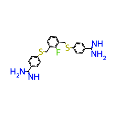 N=C(N)c1ccc(SCc2cccc(CSc3ccc(C(=N)N)cc3)c2F)cc1